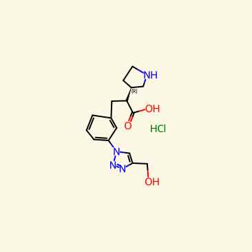 Cl.O=C(O)C(Cc1cccc(-n2cc(CO)nn2)c1)[C@H]1CCNC1